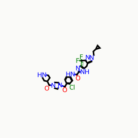 O=C(Nc1ccc(C(=O)N2CCN(C(=O)C3CCNCC3)CC2)c(Cl)c1)c1ncc(Cc2cn(CCC3CC3)nc2C(F)(F)F)[nH]1